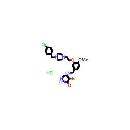 COc1ccc(CNc2cn[nH]c(=O)c2Br)cc1OCCN1CCN(Cc2ccc(Cl)cc2)CC1.Cl